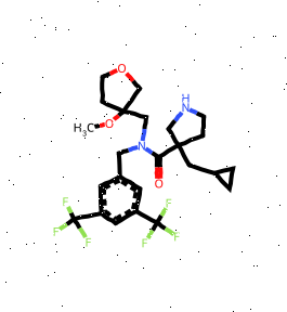 COC1(CN(Cc2cc(C(F)(F)F)cc(C(F)(F)F)c2)C(=O)C2(CC3CC3)CCNC2)CCOC1